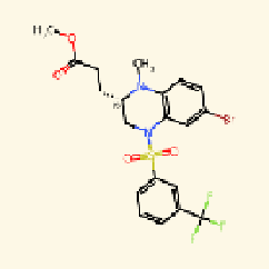 COC(=O)CC[C@H]1CN(S(=O)(=O)c2cccc(C(F)(F)F)c2)c2cc(Br)ccc2N1C